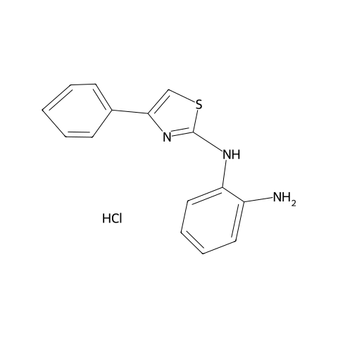 Cl.Nc1ccccc1Nc1nc(-c2ccccc2)cs1